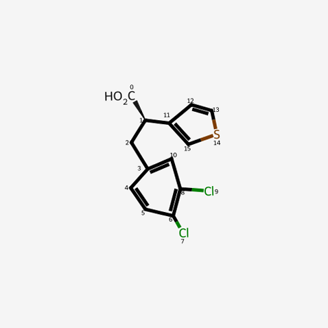 O=C(O)[C@H](Cc1ccc(Cl)c(Cl)c1)c1ccsc1